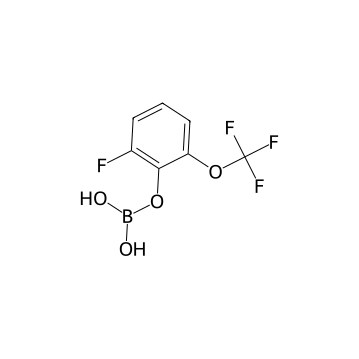 OB(O)Oc1c(F)cccc1OC(F)(F)F